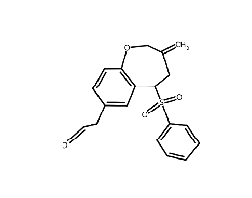 C=C1COc2ccc(CC=O)cc2C(S(=O)(=O)c2ccccc2)C1